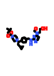 CC(C)(C)OC(=O)N1CCN(C(CC2CC2)c2ccc(CNc3nccc(N(C=O)CCO)n3)cc2)CC1